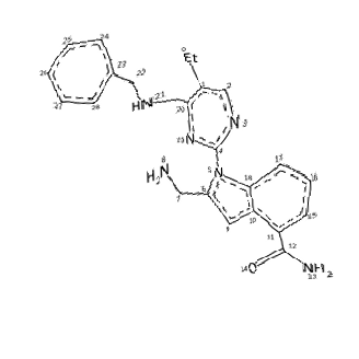 CCc1cnc(-n2c(CN)cc3c(C(N)=O)cccc32)nc1NCc1ccccc1